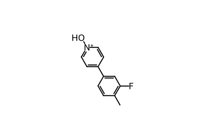 Cc1ccc(-c2cc[n+](O)cc2)cc1F